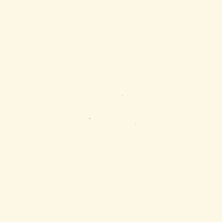 O=Cc1ccc(Cc2cc(C(=O)O)cc(C(=O)O)c2)cc1